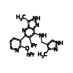 CCCOc1ncccc1-c1nc2c(C)[nH]nc2c(NCc2c[nH]nc2C)c1C(C)C